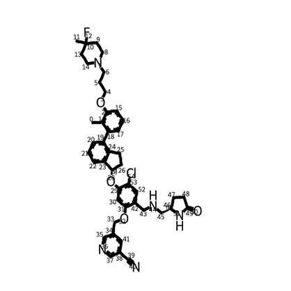 Cc1c(OCCCN2CCC(C)(F)CC2)cccc1-c1cccc2c1CC[C@@H]2Oc1cc(OCc2cncc(C#N)c2)c(CNC[C@H]2CCC(=O)N2)cc1Cl